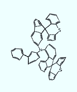 c1ccc(-c2cccc(N(c3ccc4c(c3)C3(c5ccccc5Sc5ccccc53)c3ccccc3-4)c3cccc4c3-c3ccccc3C43c4ccccc4Sc4ccccc43)c2)cc1